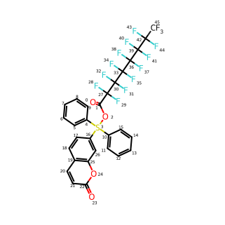 O=C(OS(c1ccccc1)(c1ccccc1)c1ccc2ccc(=O)oc2c1)C(F)(F)C(F)(F)C(F)(F)C(F)(F)C(F)(F)C(F)(F)C(F)(F)F